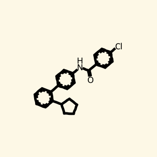 O=C(Nc1ccc(-c2ccccc2C2CCCC2)cc1)c1ccc(Cl)cc1